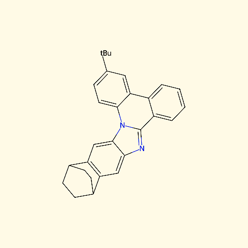 CC(C)(C)c1ccc2c(c1)c1ccccc1c1nc3cc4c(cc3n21)C1CCC4CC1